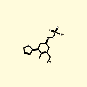 CCCS(=O)(=O)ON=C1CC(CC#N)=C(C)C(=C2C=CCS2)C1